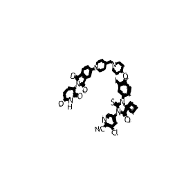 N#Cc1ncc(N2C(=O)C3(CCC3)N(c3ccc(OC4CCN(CC5CCN(c6ccc7c(c6)C(=O)N(C6CCC(=O)NC6=O)C7=O)CC5)CC4)c(I)c3)C2=S)cc1Cl